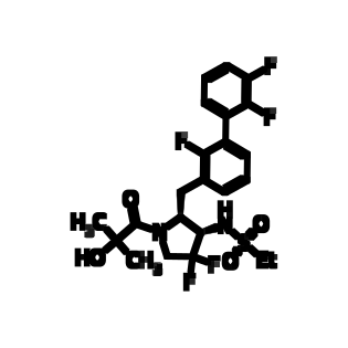 CCS(=O)(=O)N[C@@H]1[C@H](Cc2cccc(-c3cccc(F)c3F)c2F)N(C(=O)C(C)(C)O)CC1(F)F